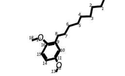 CCCCCCCCCc1cc(OC)ccc1OC